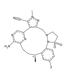 C[C@H]1CCc2nc(cnc2N)-c2c(nn(C)c2C#N)CN2CCS(=O)(=O)N2c2ccc(F)cc21